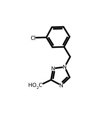 O=C(O)c1ncn(Cc2cccc(Cl)c2)n1